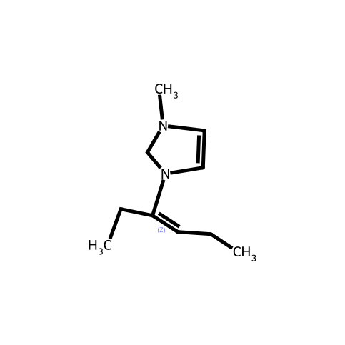 CC/C=C(/CC)N1C=CN(C)C1